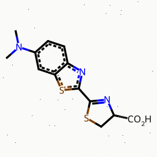 CN(C)c1ccc2nc(C3=NC(C(=O)O)CS3)sc2c1